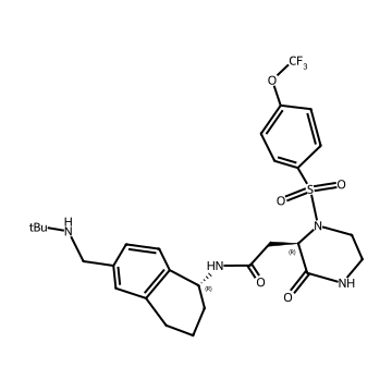 CC(C)(C)NCc1ccc2c(c1)CCC[C@H]2NC(=O)C[C@@H]1C(=O)NCCN1S(=O)(=O)c1ccc(OC(F)(F)F)cc1